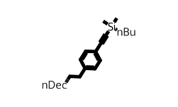 CCCCCCCCCCCCc1ccc(C#C[Si](C)(C)CCCC)cc1